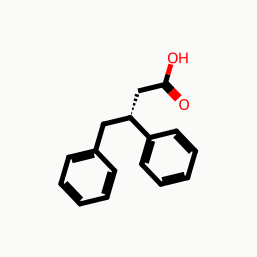 O=C(O)C[C@@H](Cc1ccccc1)c1ccccc1